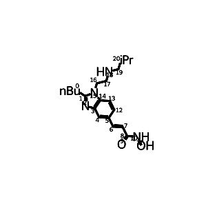 CCCCc1nc2cc(/C=C/C(=O)NO)ccc2n1CCNCC(C)C